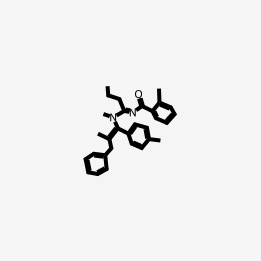 CCC/C(=N\C(=O)c1ccccc1C)N(C)/C(=C(\C)Cc1ccccc1)c1ccc(C)cc1